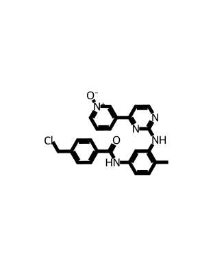 Cc1ccc(NC(=O)c2ccc(CCl)cc2)cc1Nc1nccc(-c2ccc[n+]([O-])c2)n1